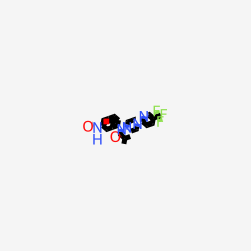 CC(C)C(=O)N(C1C2CC3CC1CC(NC=O)(C3)C2)N1CCN(c2ccc(C(F)(F)F)cn2)CC1